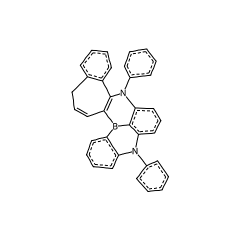 C1=CC2=C(c3ccccc3C1)N(c1ccccc1)c1cccc3c1B2c1ccccc1N3c1ccccc1